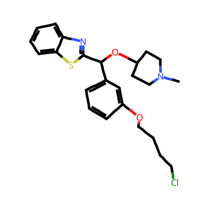 CN1CCC(OC(c2cccc(OCCCCCl)c2)c2nc3ccccc3s2)CC1